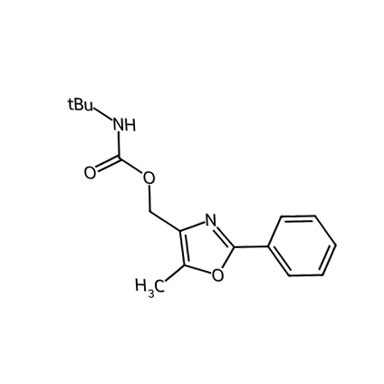 Cc1oc(-c2ccccc2)nc1COC(=O)NC(C)(C)C